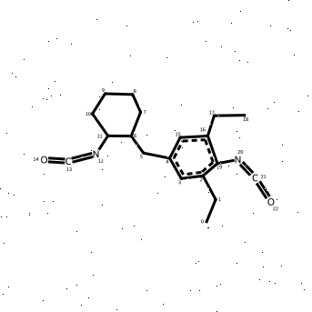 CCc1cc(CC2CCCCC2N=C=O)cc(CC)c1N=C=O